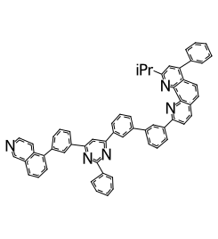 CC(C)c1cc(-c2ccccc2)c2ccc3ccc(-c4cccc(-c5cccc(-c6cc(-c7cccc(-c8cccc9cnccc89)c7)nc(-c7ccccc7)n6)c5)c4)nc3c2n1